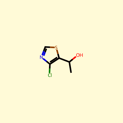 CC(O)c1scnc1Cl